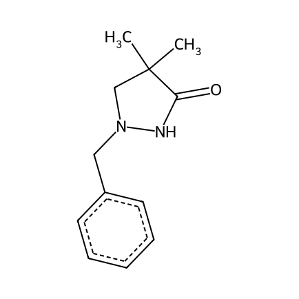 CC1(C)CN(Cc2ccccc2)NC1=O